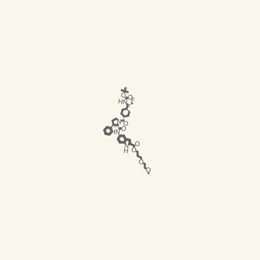 COCCOCCCOC(=O)c1cc2cc(NC(=O)[C@@H]3[C@@H](c4ccccc4)CCN3C(=O)[C@H]3CC[C@H]([C@@H](CF)NC(=O)OC(C)(C)C)CC3)ccc2[nH]1